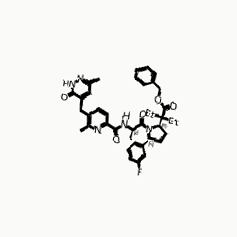 CCC(CC)(C(=O)OCc1ccccc1)[C@H]1CC[C@@H](c2cccc(F)c2)N1C(=O)[C@@H](C)NC(=O)c1ccc(Cc2cc(C)n[nH]c2=O)c(C)n1